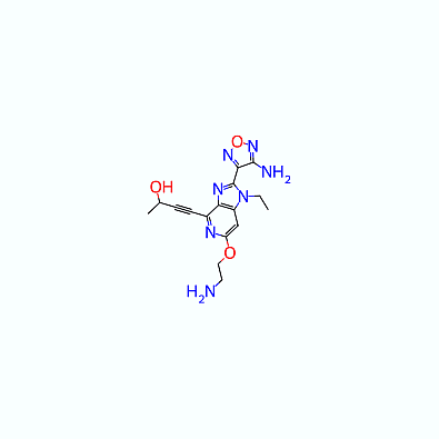 CCn1c(-c2nonc2N)nc2c(C#CC(C)O)nc(OCCN)cc21